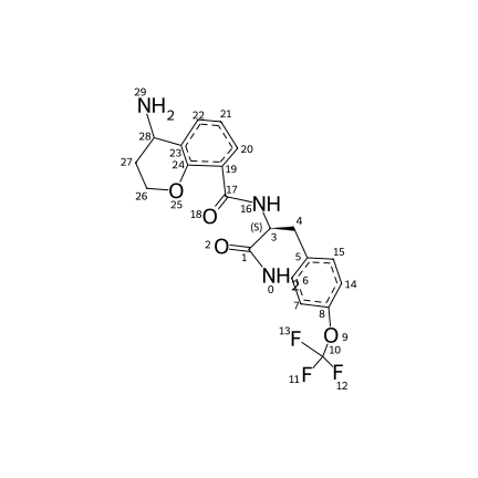 NC(=O)[C@H](Cc1ccc(OC(F)(F)F)cc1)NC(=O)c1cccc2c1OCCC2N